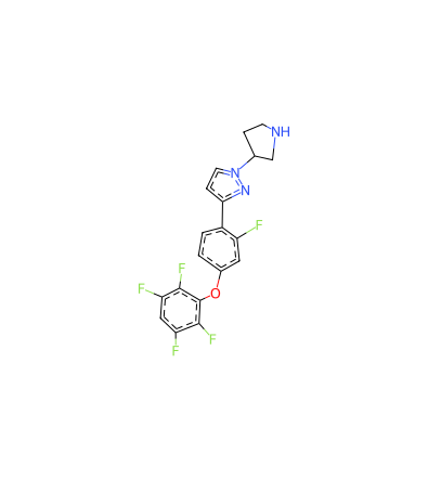 Fc1cc(Oc2c(F)c(F)cc(F)c2F)ccc1-c1ccn(C2CCNC2)n1